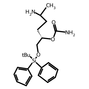 CC(N)CC[C@@H](CO[Si](c1ccccc1)(c1ccccc1)C(C)(C)C)OC(N)=O